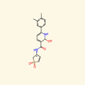 Cc1ccc(C2=CC=C(C(=O)N[C@H]3C=CS(=O)(=O)C3)C(O)N2)cc1C